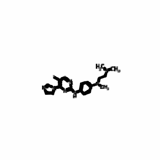 CN(C)CCN(C)c1ccc(Nc2ncc(I)c(-n3ccnc3)n2)cc1